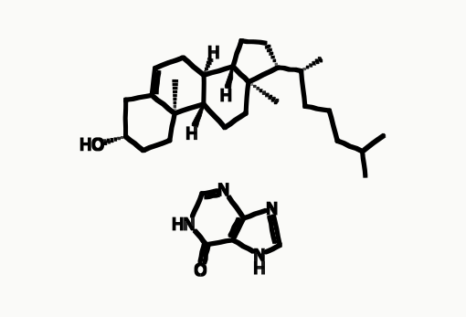 CC(C)CCC[C@@H](C)[C@H]1CC[C@H]2[C@@H]3CC=C4C[C@@H](O)CC[C@]4(C)[C@H]3CC[C@]12C.O=c1[nH]cnc2nc[nH]c12